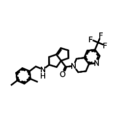 Cc1ccc(CNC2CC3=CCCC3(C(=O)N3CCc4ncc(C(F)(F)F)cc4C3)C2)c(C)c1